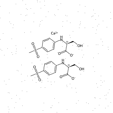 CS(=O)(=O)c1ccc(N[C@@H](CO)C(=O)[O-])cc1.CS(=O)(=O)c1ccc(N[C@@H](CO)C(=O)[O-])cc1.[Ca+2]